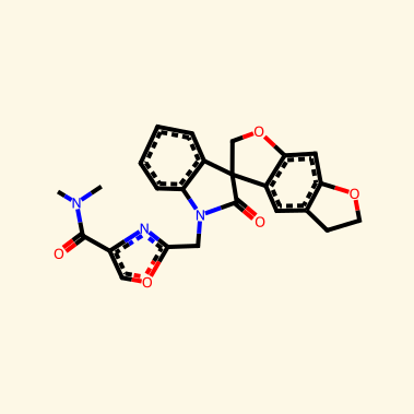 CN(C)C(=O)c1coc(CN2C(=O)C3(COc4cc5c(cc43)CCO5)c3ccccc32)n1